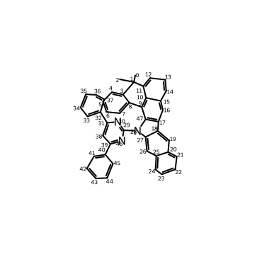 CC1(C)c2ccccc2-c2c3c1cccc3cc1c3cc4ccccc4cc3n(-c3nc(-c4ccccc4)cc(-c4ccccc4)n3)c21